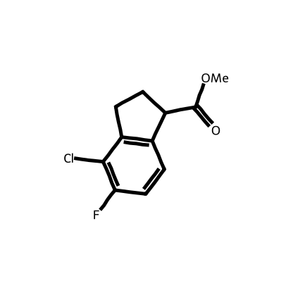 COC(=O)C1CCc2c1ccc(F)c2Cl